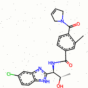 Cc1cc(C(=O)N[C@H](c2nc3cc(Cl)ccc3[nH]2)[C@H](C)O)ccc1C(=O)N1CC=CC1